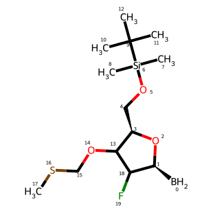 B[C@@H]1O[C@H](CO[Si](C)(C)C(C)(C)C)C(OCSC)C1F